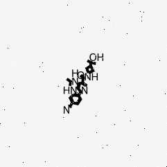 CC(C)Nc1c(C(=O)NC2CC(C(C)(C)O)C2)cnc2c1[nH]c1cc(C#N)ccc12